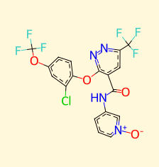 O=C(Nc1ccc[n+]([O-])c1)c1cc(C(F)(F)F)nnc1Oc1ccc(OC(F)(F)F)cc1Cl